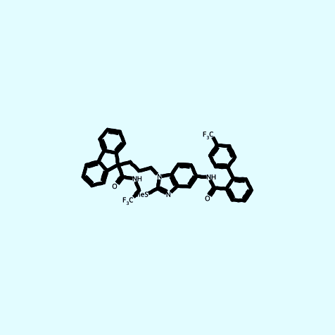 CSc1nc2cc(NC(=O)c3ccccc3-c3ccc(C(F)(F)F)cc3)ccc2n1CCCC1(C(=O)NCC(F)(F)F)c2ccccc2-c2ccccc21